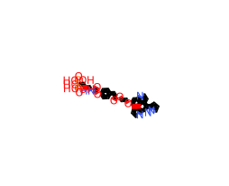 O=C(Cc1ccc(OC(=O)NCCCC(O)(P(=O)(O)O)P(=O)(O)O)cc1)OCCOc1ccc2c(-c3c(-c4ccccn4)nn4c3CCC4)ccnc2c1